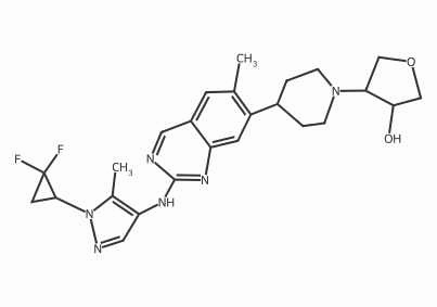 Cc1cc2cnc(Nc3cnn(C4CC4(F)F)c3C)nc2cc1C1CCN(C2COCC2O)CC1